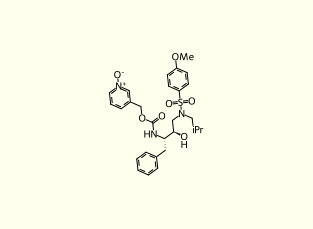 COc1ccc(S(=O)(=O)N(CC(C)C)C[C@@H](O)[C@H](Cc2ccccc2)NC(=O)OCc2ccc[n+]([O-])c2)cc1